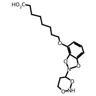 O=C(O)CCCCCCCOc1cccc2c1ON(C1CCONO1)O2